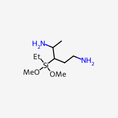 CC[Si](OC)(OC)C(CCN)C(C)N